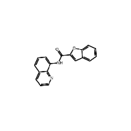 O=C(Nc1cccc2cccnc12)c1cc2ccccc2o1